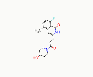 Cc1ccc(F)c2c(=O)[nH]c(CCC(=O)N3CCC(O)CC3)cc12